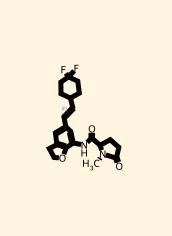 CN1C(=O)CCC1C(=O)Nc1cc(/C=C/C2CCC(F)(F)CC2)cc2c1OCC2